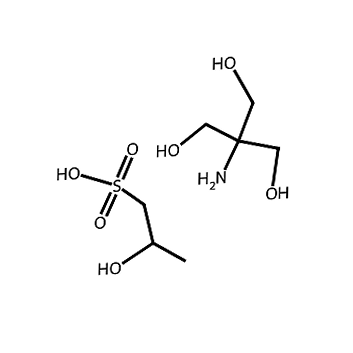 CC(O)CS(=O)(=O)O.NC(CO)(CO)CO